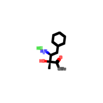 COC(=O)[C@](C)(O)[C@@H](N)CC1CCCCC1.Cl